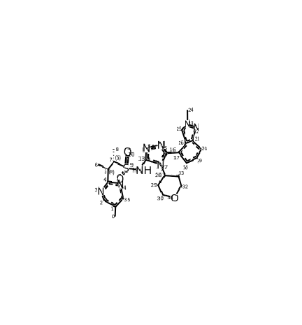 Cc1cnc([C@@H](C)[C@H](C)S(=O)(=O)Nc2nnc(-c3cccc4nn(C)cc34)n2C2CCOCC2)nc1